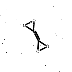 O1OC1=C1OO1